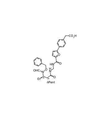 CCCCC[C@@H](C(=O)NCNC(=O)c1ccc(-c2ccc(CC(=O)O)cc2)o1)[C@@H](CC)N(C=O)OCc1ccccc1